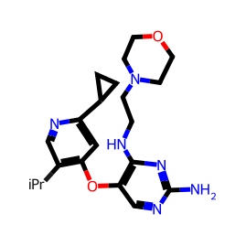 CC(C)c1cnc(C2CC2)cc1Oc1cnc(N)nc1NCCN1CCOCC1